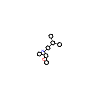 c1ccc(-c2cc(-c3ccccc3)cc(-c3ccc(-c4nc5ccccc5c5c4ccc4c6ccccc6oc45)cc3)c2)cc1